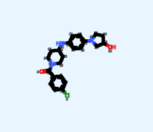 O=C(c1ccc(Cl)cc1)N1CCC(Nc2ccc(N3CCC(O)C3)cc2)CC1